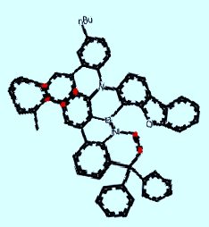 CCCCc1ccc(N2c3cc(-c4ccccc4C)cc4c3B(c3c2ccc2c3oc3ccccc32)N2c3ccccc3C(c3ccccc3)(c3ccccc3)c3cccc-4c32)c(-c2ccccc2)c1